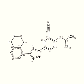 CC(C)Oc1ccc(-c2nnc(-c3cccc4c3CCCC4)s2)cc1C#N